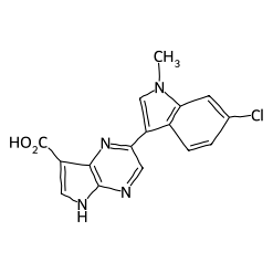 Cn1cc(-c2cnc3[nH]cc(C(=O)O)c3n2)c2ccc(Cl)cc21